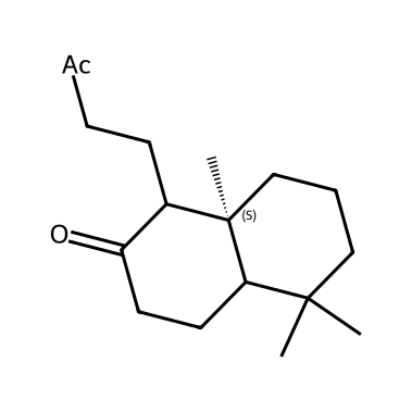 CC(=O)CCC1C(=O)CCC2C(C)(C)CCC[C@]12C